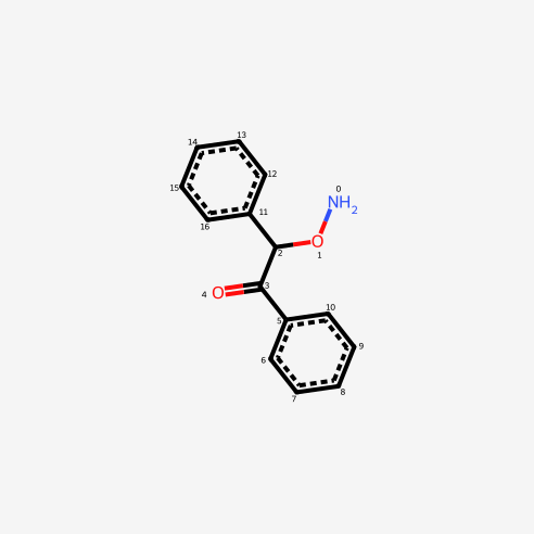 NOC(C(=O)c1ccccc1)c1ccccc1